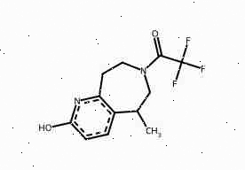 CC1CN(C(=O)C(F)(F)F)CCc2nc(O)ccc21